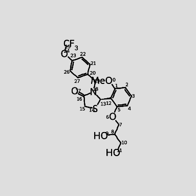 COc1cccc(OCC(O)CO)c1[C@H]1SCC(=O)N1Cc1ccc(OC(F)(F)F)cc1